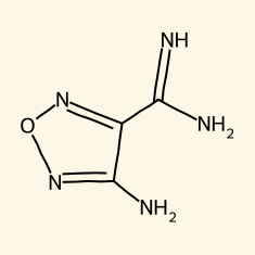 N=C(N)c1nonc1N